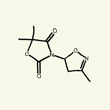 CC1=NOC(N2C(=O)OC(C)(C)C2=O)C1